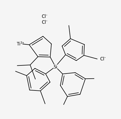 Cc1cc(C)cc([Si](C2=C(C(C)C)[C]([Ti+3])=CC2)(c2cc(C)cc(C)c2)c2cc(C)cc(C)c2)c1.[Cl-].[Cl-].[Cl-]